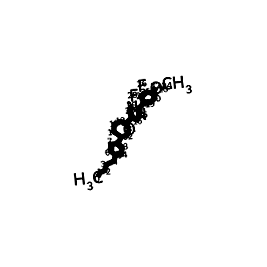 CCCCCc1ccc(C2CCCC(c3cnc(C4=CCC(OCC)C(F)=C4F)nc3)OC2)cc1